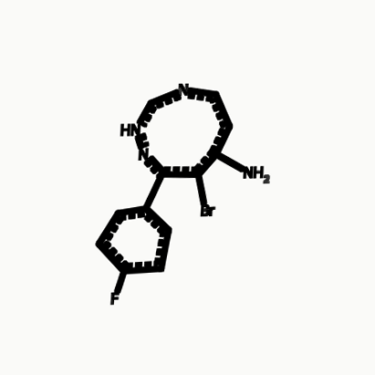 Nc1ccnc[nH]nc(-c2ccc(F)cc2)c1Br